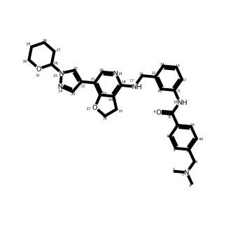 CN(C)Cc1ccc(C(=O)Nc2cccc(CNc3ncc(-c4cnn(C5CCCCO5)c4)c4c3CCO4)c2)cc1